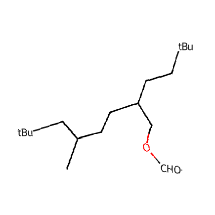 CC(CCC(CCC(C)(C)C)CO[C]=O)CC(C)(C)C